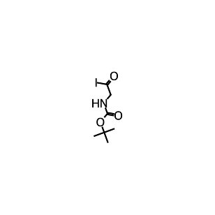 CC(C)(C)OC(=O)NCC(=O)I